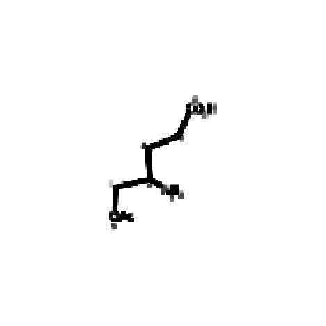 CC(=O)OCC(N)CCC(=O)O